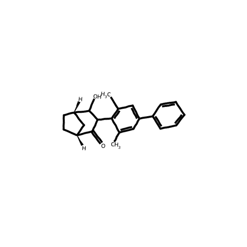 Cc1cc(-c2ccccc2)cc(C)c1C1C(=O)[C@@H]2CC[C@@H](C2)C1O